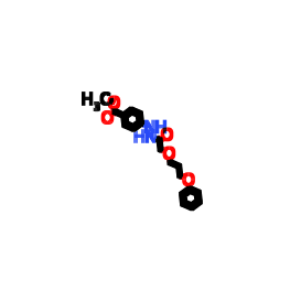 COC(=O)c1ccc(NNC(=O)COCCCOc2ccccc2)cc1